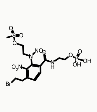 CS(=O)(=O)OCCN(c1c(C(=O)NCCOP(=O)(O)O)ccc(CCBr)c1[N+](=O)[O-])[N+](=O)[O-]